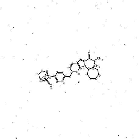 CN(C)C(=O)c1cc2cnc(Cc3ccc(N4C(=O)CN5CCC4CC5)cn3)nc2n1C1CCCCCC1